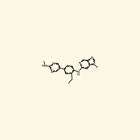 CCc1cc(-c2cnc(NC)nc2)ccc1Nc1cc2c(cn1)ncn2C